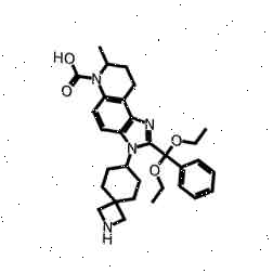 CCOC(OCC)(c1ccccc1)c1nc2c3c(ccc2n1C1CCC2(CC1)CNC2)N(C(=O)O)C(C)CC3